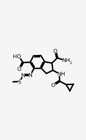 CS/N=N/c1c(C(=O)O)ccc2c1CC(NC(=O)C1CC1)C2C(N)=O